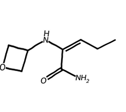 CCC=C(NC1COC1)C(N)=O